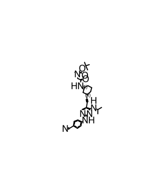 CC(C)Nc1nc(Nc2ccc(C#N)cc2)ncc1C#C[C@@H]1CCC[C@H](NC(=O)CN(C)C(=O)OC(C)(C)C)C1